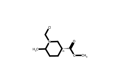 COC(=O)[C@@H]1CCC(C)N(CCl)C1